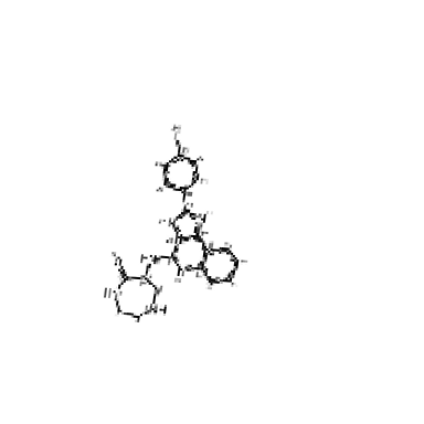 O=C1NCCNC[C@@H]1Nc1nc2ccccc2c2nc(-c3ccc(F)cc3)nn12